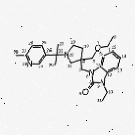 CCOCC1(Cn2c(=O)n(CC)c3ccccc32)CCN(C(C)(C)c2ccc(C)nc2)C1